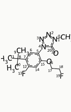 Cn1nnn(-c2cc(C(C)(C)C)c(F)cc2OCCF)c1=O